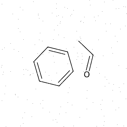 CC=O.c1ccccc1